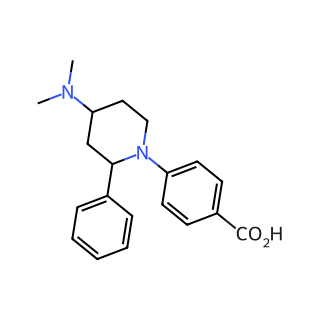 CN(C)C1CCN(c2ccc(C(=O)O)cc2)C(c2ccccc2)C1